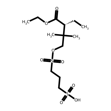 CCOC(=O)[C@H](CC)C(C)(C)COS(=O)(=O)CCCS(=O)(=O)O